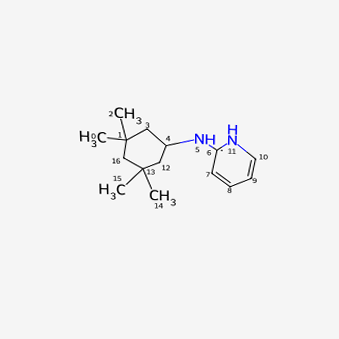 CC1(C)CC(N[C]2C=CC=CN2)CC(C)(C)C1